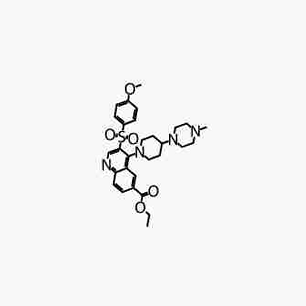 CCOC(=O)c1ccc2ncc(S(=O)(=O)c3ccc(OC)cc3)c(N3CCC(N4CCN(C)CC4)CC3)c2c1